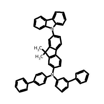 CC1(C)c2cc(N(c3ccc(-c4ccccc4)cc3)c3cccc(-c4ccccc4)c3)ccc2-c2ccc(-n3c4ccccc4c4ccccc43)cc21